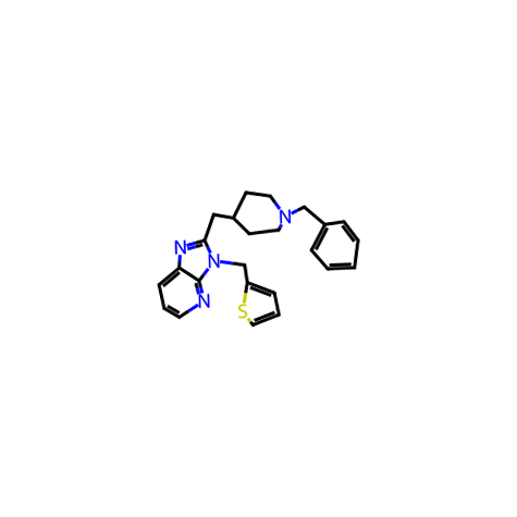 c1ccc(CN2CCC(Cc3nc4cccnc4n3Cc3cccs3)CC2)cc1